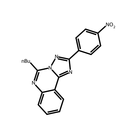 CCCCc1nc2ccccc2c2nc(-c3ccc([N+](=O)[O-])cc3)nn12